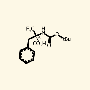 CC(C)(C)OC(=O)N[C@](Cc1ccccc1)(C(=O)O)C(F)(F)F